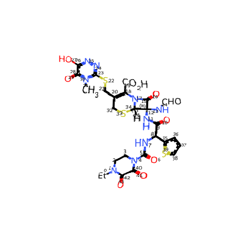 CCN1CCN(C(=O)NC(C(=O)N[C@]2(NC=O)C(=O)N3C(C(=O)O)=C(CSc4nnc(O)c(=O)n4C)CS[C@H]32)c2cccs2)C(=O)C1=O